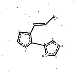 CCC=Cc1ccsc1-c1cccs1